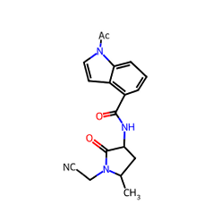 CC(=O)n1ccc2c(C(=O)NC3CC(C)N(CC#N)C3=O)cccc21